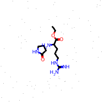 CCOC(=O)C(N)CCCNC(=N)N.O=C1CCCN1